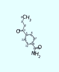 CCCC(=O)c1ccc(C(N)=O)cc1